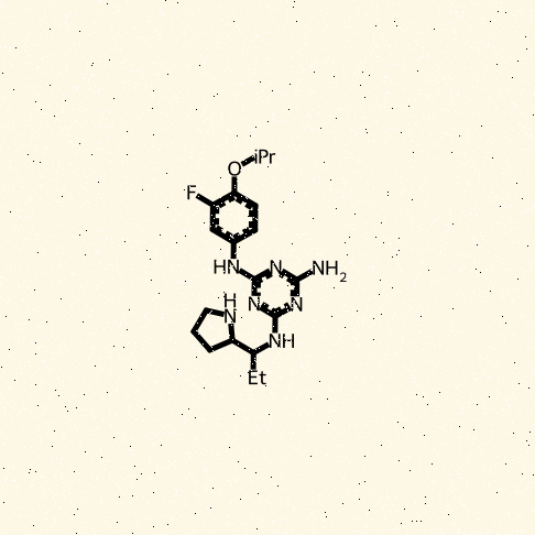 CCC(Nc1nc(N)nc(Nc2ccc(OC(C)C)c(F)c2)n1)C1CCCN1